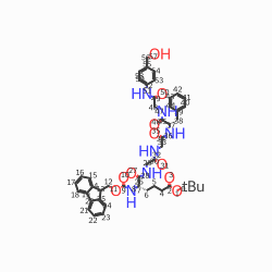 CC(C)(C)OC(=O)CCC[C@H](NC(=O)OCC1c2ccccc2-c2ccccc21)C(=O)NCC(=O)NCC(=O)N[C@@H](Cc1ccccc1)C(=O)NCC(=O)Nc1ccc(CO)cc1